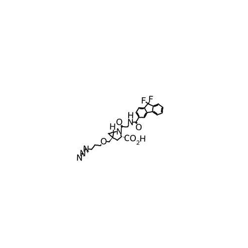 [N-]=[N+]=NCCCOC[C@@]12C[C@@H]1N(C(=O)CNC(=O)c1ccc3c(c1)-c1ccccc1C3(F)F)[C@H](C(=O)O)C2